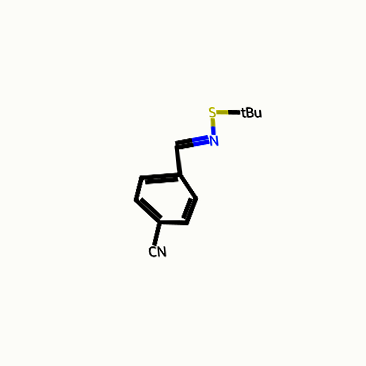 CC(C)(C)S/N=C/c1ccc(C#N)cc1